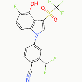 N#Cc1ccc(-n2cc(S(=O)(=O)C(F)(F)F)c3c(O)c(F)ccc32)cc1C(F)F